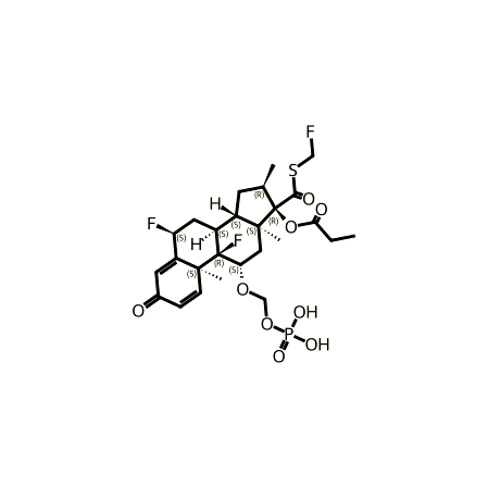 CCC(=O)O[C@]1(C(=O)SCF)[C@H](C)C[C@H]2[C@@H]3C[C@H](F)C4=CC(=O)C=C[C@]4(C)[C@@]3(F)[C@@H](OCOP(=O)(O)O)C[C@@]21C